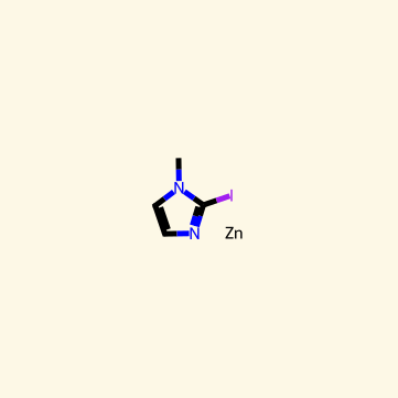 Cn1ccnc1I.[Zn]